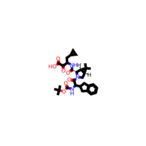 CC(C)(C)OC(=O)NC(C(=O)N1C[C@H]2[C@@H]([C@H]1C(=O)NC(CC1CC1)C(=O)C(=O)O)C2(C)C)C1Cc2ccccc2C1